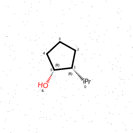 CC(C)[C@H]1CCC[C@H]1O